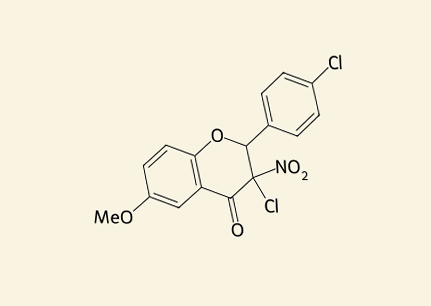 COc1ccc2c(c1)C(=O)C(Cl)([N+](=O)[O-])C(c1ccc(Cl)cc1)O2